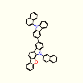 c1ccc2cc(-n3c4ccc(-c5ccc6c(c5)c5ccccc5n6-c5cccc6ccccc56)cc4c4ccc5c6ccccc6oc5c43)ccc2c1